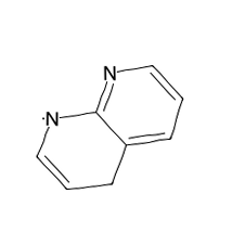 C1=C[N]c2ncccc2C1